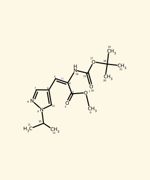 COC(=O)/C(=C\c1cnn(C(C)C)c1)NC(=O)OC(C)(C)C